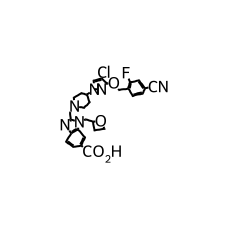 N#Cc1ccc(COc2nn(C3CCN(Cc4nc5ccc(C(=O)O)cc5n4CC4CCO4)CC3)cc2Cl)c(F)c1